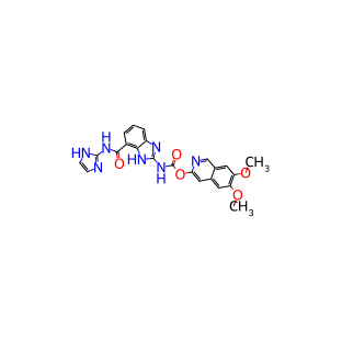 COc1cc2cnc(OC(=O)Nc3nc4cccc(C(=O)Nc5ncc[nH]5)c4[nH]3)cc2cc1OC